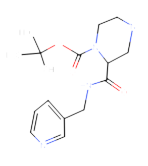 CC(C)(C)OC(=O)N1CCNCC1C(=O)NCc1cccnc1